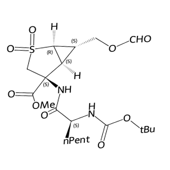 CCCCC[C@H](NC(=O)OC(C)(C)C)C(=O)N[C@@]1(C(=O)OC)CS(=O)(=O)[C@H]2[C@H](COC=O)[C@H]21